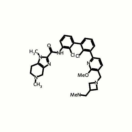 CNCC1CN(Cc2ccc(-c3cccc(-c4cccc(NC(=O)c5nc6c(n5C)CCN(C)C6)c4Cl)c3Cl)nc2OC)C1